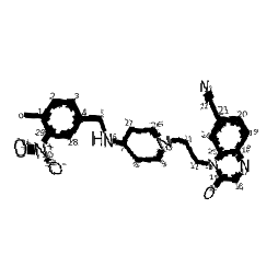 Cc1ccc(CNC2CCN(CCn3c(=O)cnc4ccc(C#N)cc43)CC2)cc1[N+](=O)[O-]